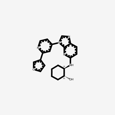 O[C@@H]1CCCC[C@H]1Nc1ccc2ncn(-c3ccnc(-c4ccoc4)c3)c2n1